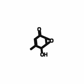 CC1=CC(=O)C2OC2C1O